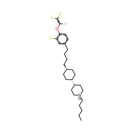 CCCCC[SiH]1CCC([C@H]2CC[C@H](CCCCc3ccc(OC(F)=C(F)F)c(F)c3)CC2)CC1